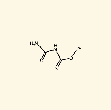 CC(C)OC(=N)NC(N)=O